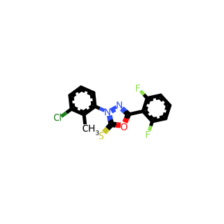 Cc1c(Cl)cccc1-n1nc(-c2c(F)cccc2F)oc1=S